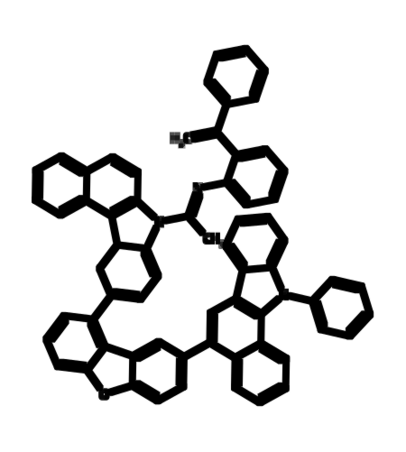 C=C(c1ccccc1)c1ccccc1/N=C(\C)N1C2=CC=C(c3cccc4oc5ccc(-c6cc7c8ccccc8n(-c8ccccc8)c7c7ccccc67)cc5c34)CC2c2c1ccc1ccccc21